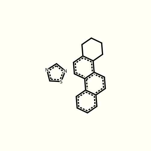 c1ccc2c(c1)ccc1c3c(ccc12)CCCC3.c1ncsn1